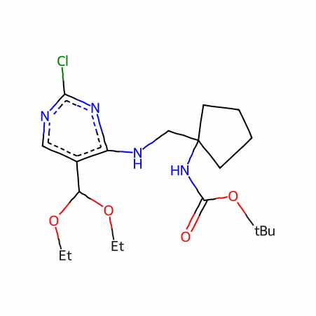 CCOC(OCC)c1cnc(Cl)nc1NCC1(NC(=O)OC(C)(C)C)CCCC1